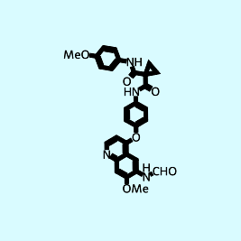 COc1ccc(NC(=O)C2(C(=O)Nc3ccc(Oc4ccnc5cc(OC)c(NC=O)cc45)cc3)CC2)cc1